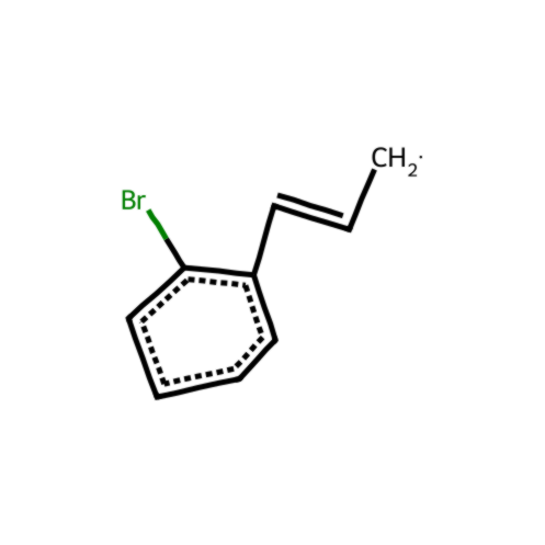 [CH2]C=Cc1ccccc1Br